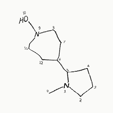 CN1CCCC1C1CCN(O)CC1